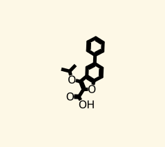 CC(C)Oc1c(C(=O)O)oc2ccc(-c3ccccc3)cc12